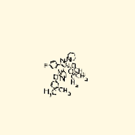 Cc1ccc(Oc2nccc(-c3c(-c4ccc(F)cc4)nc(N4CCCCC4)n3C(=O)OC(C)(C)C)n2)cc1C